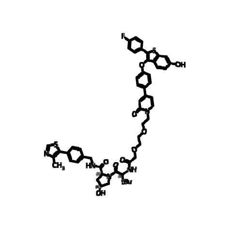 Cc1ncsc1-c1ccc(CNC(=O)[C@@H]2C[C@@H](O)CN2C(=O)[C@@H](NC(=O)COCCOCCn2ccc(-c3ccc(Oc4c(-c5ccc(F)cc5)sc5cc(O)ccc45)cc3)cc2=O)C(C)(C)C)cc1